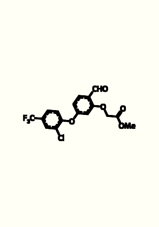 COC(=O)COc1cc(Oc2ccc(C(F)(F)F)cc2Cl)ccc1C=O